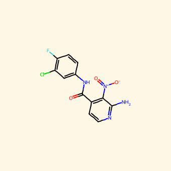 Nc1nccc(C(=O)Nc2ccc(F)c(Cl)c2)c1[N+](=O)[O-]